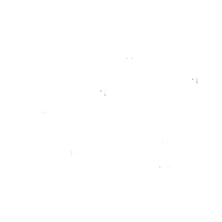 COc1cc(C(C)Br)n(-c2ccccc2)c(=O)c1C#N